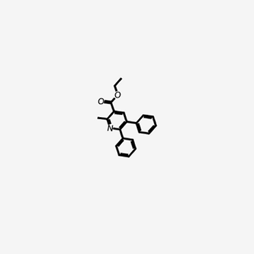 CCOC(=O)c1cc(-c2ccccc2)c(-c2ccccc2)nc1C